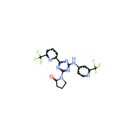 O=C1CCCN1c1nc(Nc2ccnc(C(F)(F)F)c2)nc(-c2cccc(C(F)(F)F)n2)n1